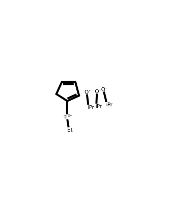 CC(C)[O-].CC(C)[O-].CC(C)[O-].C[CH2][Ti+3][C]1=CC=CC1